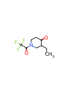 CCC1CN(C(=O)C(F)(F)F)CCC1=O